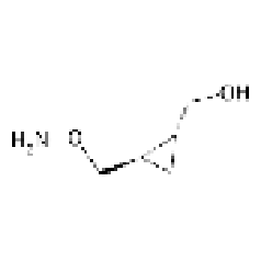 NOC[C@@H]1C[C@H]1CO